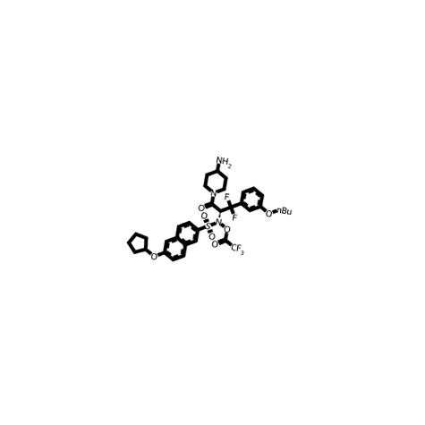 CCCCOc1cccc(C(F)(F)[C@@H](C(=O)N2CCC(N)CC2)N(OC(=O)C(F)(F)F)S(=O)(=O)c2ccc3cc(OC4CCCC4)ccc3c2)c1